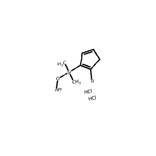 CCCO[Si](C)(C)C1=[C]([Ti])CC=C1.Cl.Cl